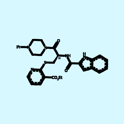 CCOC(=O)c1cccnc1SC[C@H](NC(=O)c1cc2ccccc2[nH]1)C(=O)N1CCN(C(C)C)CC1